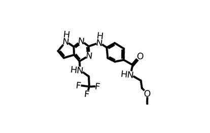 COCCNC(=O)c1ccc(Nc2nc(NCC(F)(F)F)c3cc[nH]c3n2)cc1